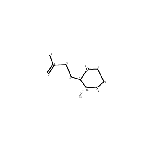 C=C(C)CCC1OCCS[C@@H]1C